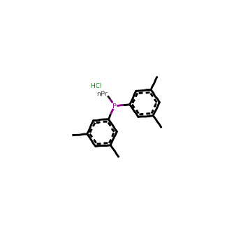 CCCP(c1cc(C)cc(C)c1)c1cc(C)cc(C)c1.Cl